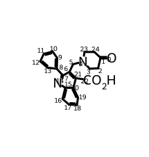 O=C1CCN(Cc2c(-c3ccccc3)nc3ccccc3c2C(=O)O)CC1